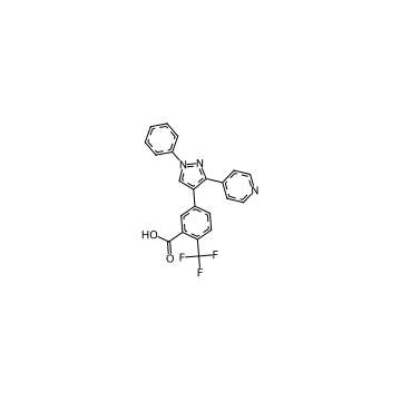 O=C(O)c1cc(-c2cn(-c3ccccc3)nc2-c2ccncc2)ccc1C(F)(F)F